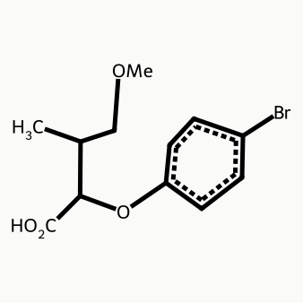 COCC(C)C(Oc1ccc(Br)cc1)C(=O)O